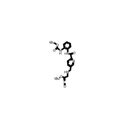 CC(C)(C)OC(=O)Nc1ccccc1NC(=O)c1ccc(CNCC(=C=O)OC(C)(C)C)cn1